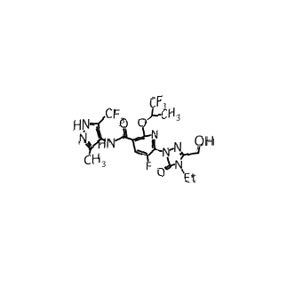 CCn1c(CO)nn(-c2nc(OC(C)C(F)(F)F)c(C(=O)Nc3c(C)n[nH]c3C(F)(F)F)cc2F)c1=O